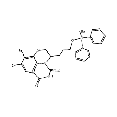 CC(C)(C)[Si](OCCC[C@@H]1CSc2c(Br)c(Cl)cc3c(=O)[nH]c(=O)n1c23)(c1ccccc1)c1ccccc1